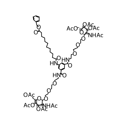 CC(=O)N[C@H]1C(OCCOCCOCCNC(=O)c2cc(NC(=O)CCCCCCCCCCC(=O)OCc3ccccc3)cc(C(=O)NCCOCCOCCOC3O[C@H](COC(C)=O)[C@H](OC(C)=O)[C@H](OC(C)=O)[C@H]3NC(C)=O)c2)O[C@H](COC(C)=O)[C@H](OC(C)=O)[C@@H]1OC(C)=O